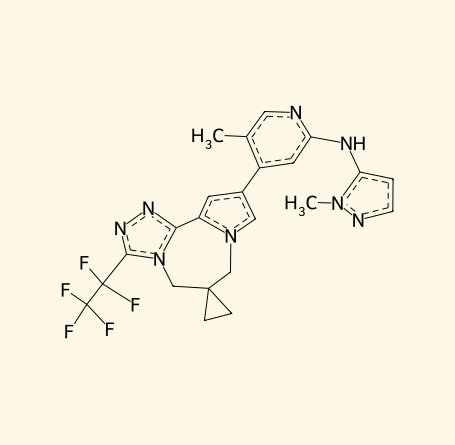 Cc1cnc(Nc2ccnn2C)cc1-c1cc2n(c1)CC1(CC1)Cn1c-2nnc1C(F)(F)C(F)(F)F